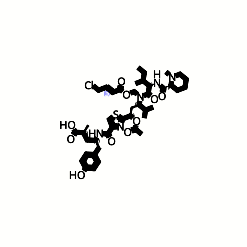 CCC(C)[C@H](NC(=O)[C@H]1CCCCN1C)C(=O)N(COC(=O)/C=C/CCl)[C@H](C[C@@H](OC(C)=O)c1nc(C(=O)N[C@@H](Cc2ccc(O)cc2)C[C@H](C)C(=O)O)cs1)C(C)C